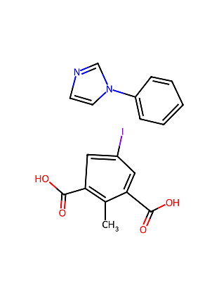 Cc1c(C(=O)O)cc(I)cc1C(=O)O.c1ccc(-n2ccnc2)cc1